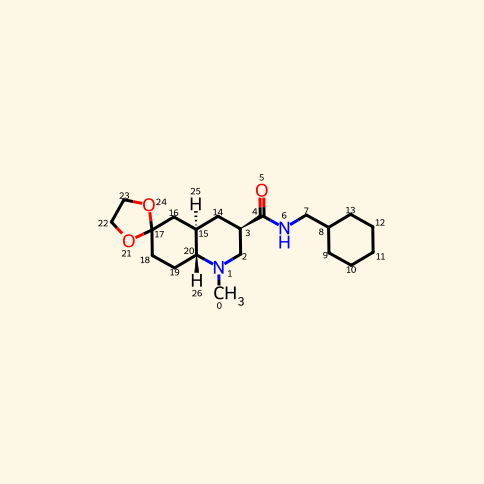 CN1C[C@H](C(=O)NCC2CCCCC2)C[C@@H]2CC3(CC[C@H]21)OCCO3